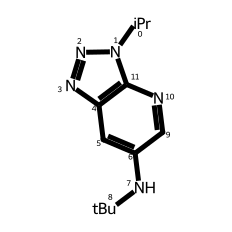 CC(C)n1nnc2cc(NC(C)(C)C)cnc21